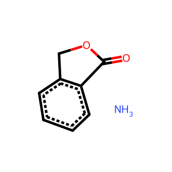 N.O=C1OCc2ccccc21